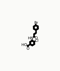 O=C(C=Cc1ccc(Br)cc1)Nc1cc(C(=O)O)ccc1Cl